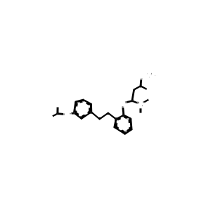 COC(C)CC(Oc1ccccc1CCc1cccc(OC(F)F)c1)N(C)C